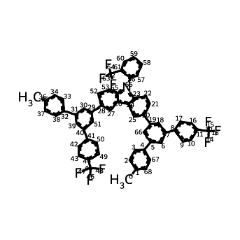 Cc1ccc(-c2cc(-c3ccc(C(F)(F)F)cc3)cc(-c3ccc4c(c3)c3cc(-c5cc(-c6ccc(C)cc6)cc(-c6ccc(C(F)(F)F)cc6)c5)ccc3n4-c3ccccc3C(F)(F)F)c2)cc1